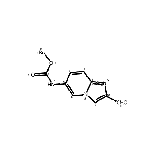 CC(C)(C)OC(=O)Nc1ccc2nc(C=O)cn2c1